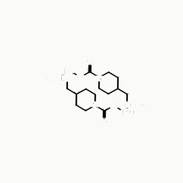 CC(C)(C)OC(=O)N1CCC(CC(=O)O)CC1.CCOC(=O)CC1CCN(C(=O)OC(C)(C)C)CC1